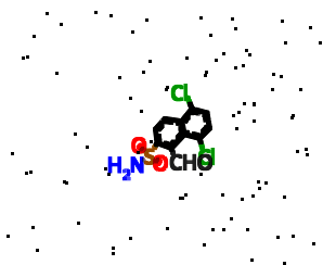 NS(=O)(=O)c1ccc2c(Cl)ccc(Cl)c2c1C=O